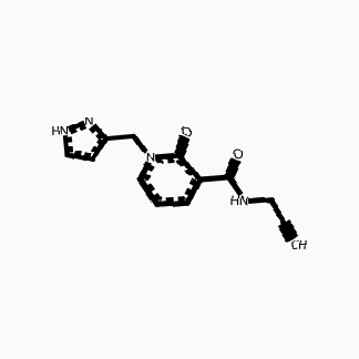 C#CCNC(=O)c1cccn(Cc2cc[nH]n2)c1=O